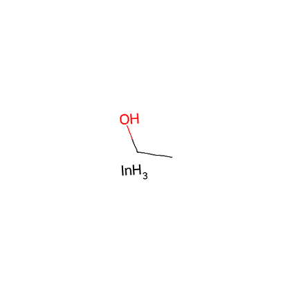 CCO.[InH3]